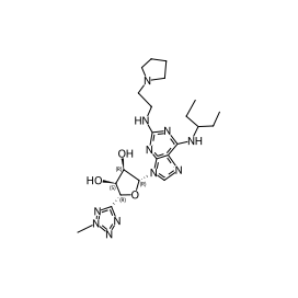 CCC(CC)Nc1nc(NCCN2CCCC2)nc2c1ncn2[C@@H]1O[C@H](c2nnn(C)n2)[C@@H](O)[C@H]1O